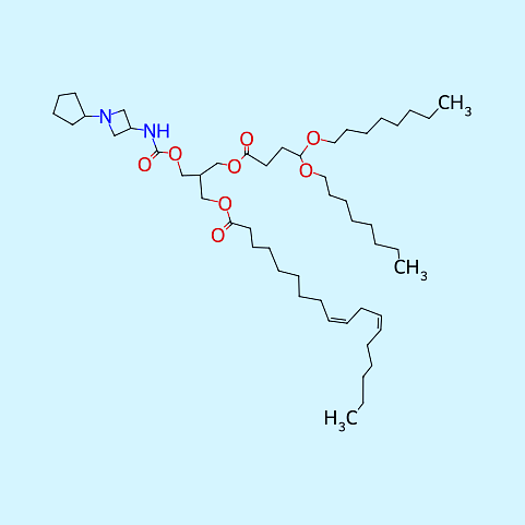 CCCCC/C=C\C/C=C\CCCCCCCC(=O)OCC(COC(=O)CCC(OCCCCCCCC)OCCCCCCCC)COC(=O)NC1CN(C2CCCC2)C1